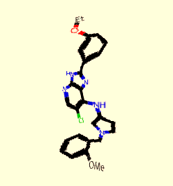 CCOc1cccc(-c2nc3c(NC4CCN(Cc5ccccc5OC)C4)c(Cl)cnc3[nH]2)c1